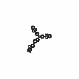 c1ccc2oc(-c3ccc(N(c4ccc(-c5nc6ccccc6o5)cc4)c4ccc5cc(-c6ccc7c(c6)oc6cnncc67)ccc5c4)cc3)nc2c1